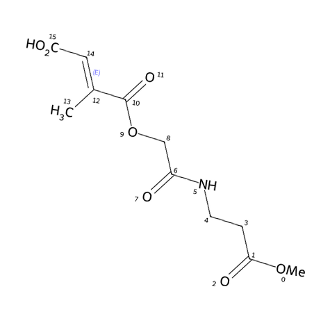 COC(=O)CCNC(=O)COC(=O)/C(C)=C/C(=O)O